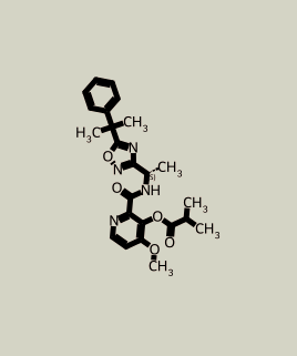 COc1ccnc(C(=O)N[C@@H](C)c2noc(C(C)(C)c3ccccc3)n2)c1OC(=O)C(C)C